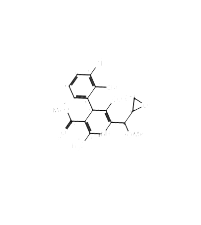 CCOC(=O)C1=C(C(OC)C2CO2)NC(C)=C(C(=O)OC)C1c1cccc(Cl)c1Cl